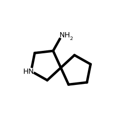 NC1CNCC12CCCC2